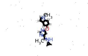 CC(NC1CC1)c1cc(Oc2ccc3c(ccn3C)c2)ncn1